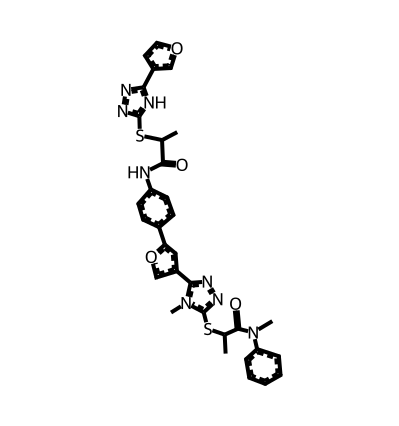 CC(Sc1nnc(-c2ccoc2)[nH]1)C(=O)Nc1ccc(-c2cc(-c3nnc(SC(C)C(=O)N(C)c4ccccc4)n3C)co2)cc1